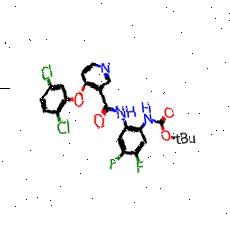 CC(C)(C)OC(=O)Nc1cc(F)c(F)cc1NC(=O)c1cnccc1Oc1cc(Cl)ccc1Cl